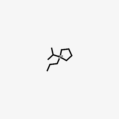 CCC[N+]1(C(C)C)CCCC1